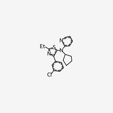 CCc1nc(-c2cccc(Cl)c2)c(N(c2ccccn2)C2CCCC2)s1